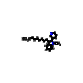 Cn1c(-c2cccnc2)c(CCCCCCCC(=O)O)c2ccccc21